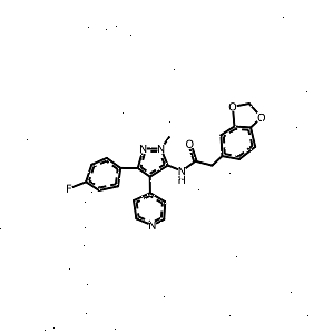 Cn1nc(-c2ccc(F)cc2)c(-c2ccncc2)c1NC(=O)Cc1ccc2c(c1)OCO2